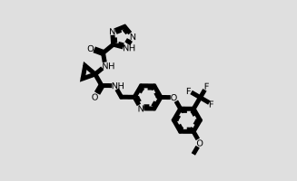 COc1ccc(Oc2ccc(CNC(=O)C3(NC(=O)c4ncn[nH]4)CC3)nc2)c(C(F)(F)F)c1